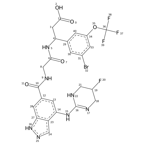 O=C(O)CC(NC(=O)CNC(=O)c1cc(NC2=NCC(F)CN2)c2cn[nH]c2c1)c1cc(Br)cc(OC(F)(F)F)c1